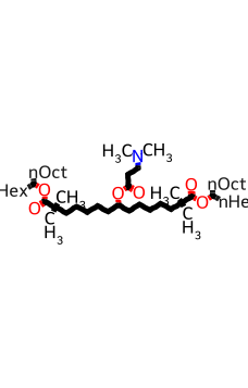 CCCCCCCCC(CCCCCC)OC(=O)C(C)(C)CCCCCC(CCCCCC(C)(C)C(=O)OC(CCCCCC)CCCCCCCC)OC(=O)CCN(C)C